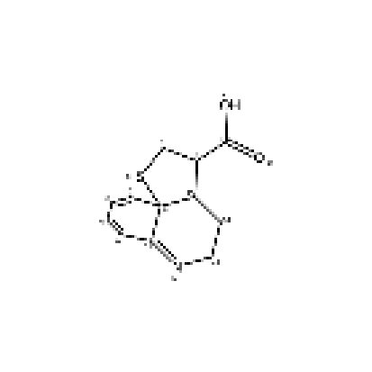 O=C(O)C1CSC23C=CC=CC2=NCCC13